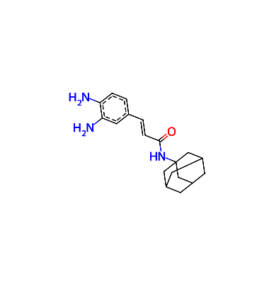 Nc1ccc(/C=C/C(=O)NC23CC4CC(CC(C4)C2)C3)cc1N